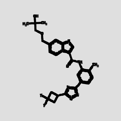 Cc1ccc(-c2noc(C3CC(F)(F)C3)n2)cc1NC(=O)c1cnc2cc(COCC(C)(C)O)ccn12